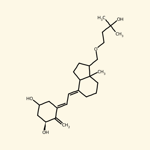 C=C1/C(=C/C=C2\CCCC3(C)C(COCCC(C)(C)O)CCC23)CC(O)C[C@@H]1O